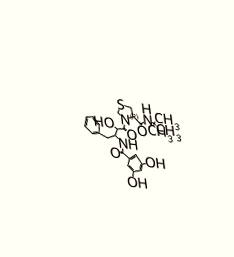 CC(C)(C)NC(=O)[C@@H]1CSCN1C(=O)C(O)C(Cc1ccccc1)NC(=O)c1cc(O)cc(O)c1